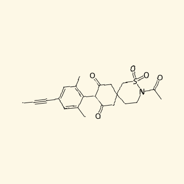 CC#Cc1cc(C)c(C2C(=O)CC3(CCN(C(C)=O)S(=O)(=O)C3)CC2=O)c(C)c1